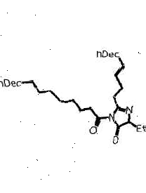 CCCCCCCCCCCCCCCCCC(=O)N1C(=O)C(CC)N=C1CCCCCCCCCCCCCC